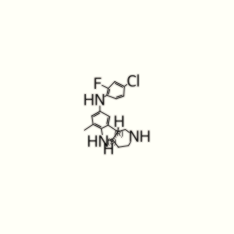 Cc1cc(Nc2ccc(Cl)cc2F)cc2c1N[C@H]1CCNC[C@@H]21